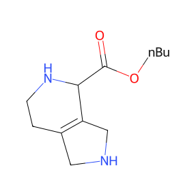 CCCCOC(=O)C1NCCC2=C1CNC2